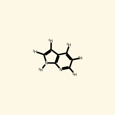 [2H]c1nc2c(c([2H])c1[2H])c([2H])c([2H])n2[2H]